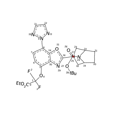 CCOC(=O)C(F)(F)Oc1ccc(-n2nccn2)c2oc(N3CC4CCC(C3)N4C(=O)OC(C)(C)C)nc12